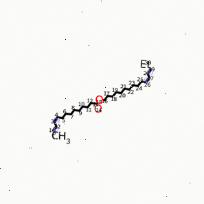 C/C=C/C=C\CCCCCCCCC(=O)OCCCCCCCCCC/C=C\C=C\CC